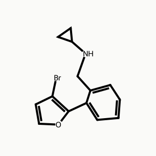 Brc1ccoc1-c1ccccc1CNC1CC1